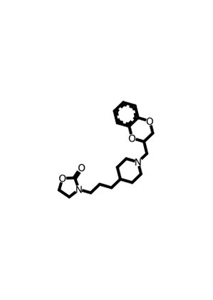 O=C1OCCN1CCCC1CCN(CC2COc3ccccc3O2)CC1